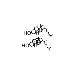 CC(C)=CCC[C@@H](C)[C@H]1CC[C@H]2[C@@H]3CC=C4C[C@@H](O)CC[C@]4(C)[C@H]3CC[C@]12C.CC(C)CCC[C@@H](C)[C@H]1CC[C@H]2[C@@H]3CC=C4C[C@@H](O)CC[C@]4(C)[C@H]3CC[C@]12C